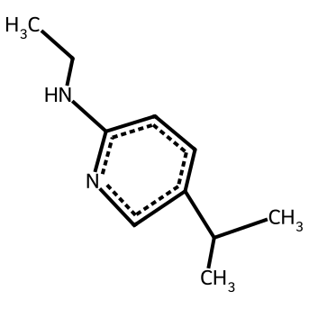 CCNc1ccc(C(C)C)cn1